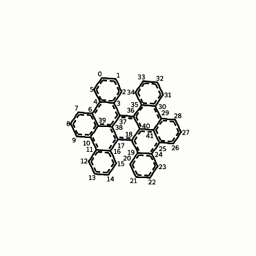 c1ccc2c(c1)c1cccc3c4ccccc4c4c5c6ccccc6c6cccc7c8ccccc8c(c2c4c13)c5c76